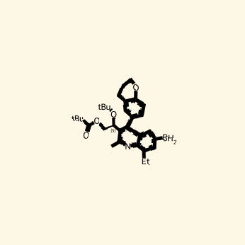 Bc1cc(CC)c2nc(C)c([C@@H](COC(=O)C(C)(C)C)OC(C)(C)C)c(-c3ccc4c(c3)CCCO4)c2c1